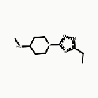 CCc1noc(N2CCC(NC)CC2)n1